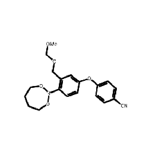 COCOCc1cc(Oc2ccc(C#N)cc2)ccc1B1OCCCCO1